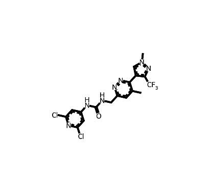 Cc1cc(CNC(=O)Nc2cc(Cl)nc(Cl)c2)nnc1-c1cn(C)nc1C(F)(F)F